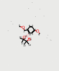 COCc1ccc(OC)cc1B1OC(C)(C)C(C)(C)O1